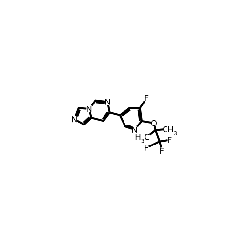 CC(C)(Oc1ncc(-c2cc3cncn3cn2)cc1F)C(F)(F)F